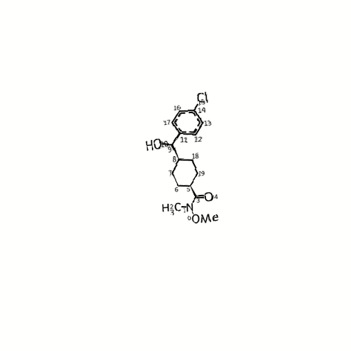 CON(C)C(=O)[C@H]1CC[C@@H](C(O)c2ccc(Cl)cc2)CC1